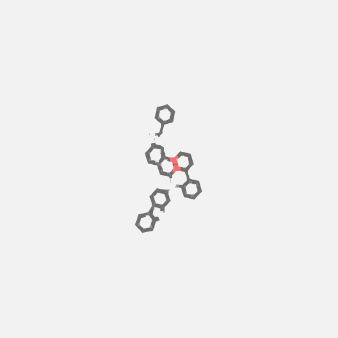 c1ccc(-c2nc3ccc4cc(N(c5ccc6c(c5)sc5ccccc56)c5ccccc5-c5ccccc5)ccc4c3o2)cc1